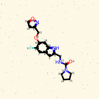 O=C(NCc1cc2cc(F)c(OCc3ccon3)cc2[nH]1)N1CCCC1